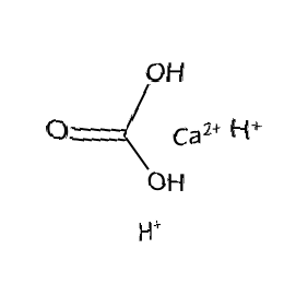 O=C(O)O.[Ca+2].[H+].[H+]